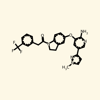 Cn1ccc(-c2cnc(N)c(Oc3ccc4c(c3)CCN4C(=O)Cc3cccc(C(F)(F)F)c3)c2)n1